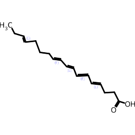 CC/C=C/CCC/C=C/C=C/C=C/C=C/CCC(=O)O